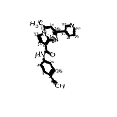 C#Cc1ccc(NC(=O)c2ccn3c(C)cc(-c4cccnc4)nc23)cc1